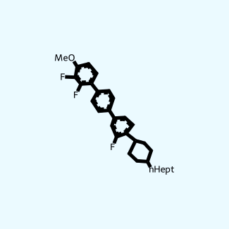 CCCCCCCC1CCC(c2ccc(-c3ccc(-c4ccc(OC)c(F)c4F)cc3)cc2F)CC1